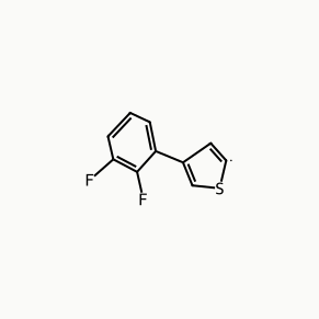 Fc1cccc(-c2c[c]sc2)c1F